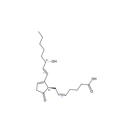 CCCCC[C@H](O)/C=C/C1=CCC(=O)[C@@H]1C/C=C\CCCC(=O)O